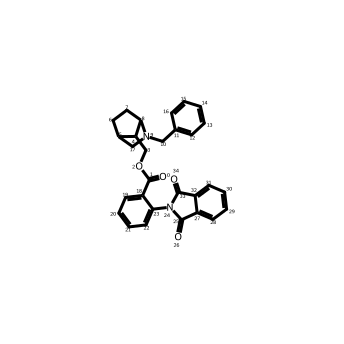 O=C(OCC1C2CCC1N(Cc1ccccc1)C2)c1ccccc1N1C(=O)c2ccccc2C1=O